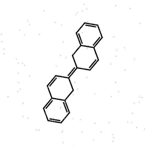 C1=Cc2ccccc2CC1=C1C=Cc2ccccc2C1